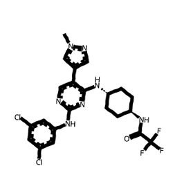 Cn1cc(-c2cnc(Nc3cc(Cl)cc(Cl)c3)nc2N[C@H]2CC[C@H](NC(=O)C(F)(F)F)CC2)cn1